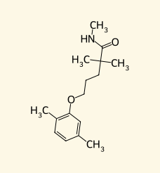 CNC(=O)C(C)(C)CCCOc1cc(C)ccc1C